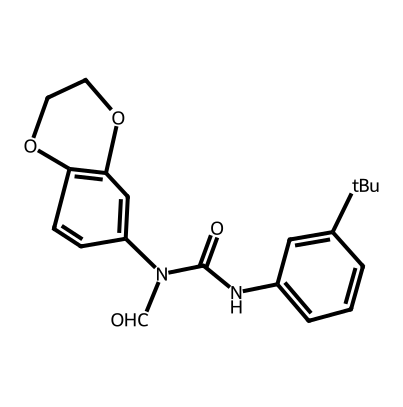 CC(C)(C)c1cccc(NC(=O)N(C=O)c2ccc3c(c2)OCCO3)c1